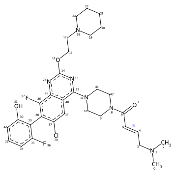 CN(C)C/C=C/C(=O)N1CCN(c2nc(OCCN3CCCCC3)nc3c(F)c(-c4c(O)cccc4F)c(Cl)cc23)CC1